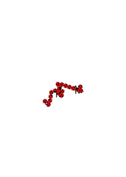 C1=C(c2ccc(-c3ccc(-c4ccc5c6ccccc6n(-c6cccc(-c7cccc8c9ccccc9c9ncc(-c%10cccc(-c%11cccc(-c%12ccc(-c%13ccc%14c%15ccccc%15n(-c%15ccccc%15)c%14c%13)cc%12)c%11)c%10)nc9c78)c6)c5c4)cc3)cc2)CCC(c2cnc3c4ccccc4c4ccccc4c3n2)=C1